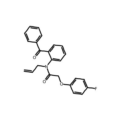 C=CCN(C(=O)COc1ccc(F)cc1)c1ccccc1C(=O)c1ccccc1